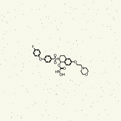 O=C(NO)OC1c2ccc(OCCN3CCOCC3)cc2CCN1S(=O)(=O)c1ccc(Oc2ccc(F)cc2)cc1